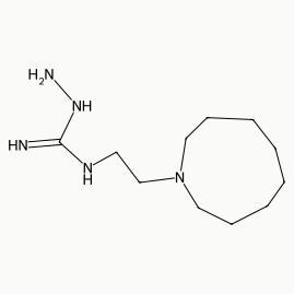 N=C(NN)NCCN1CCCCCCCC1